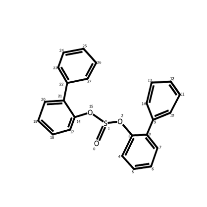 O=S(Oc1ccccc1-c1ccccc1)Oc1ccccc1-c1ccccc1